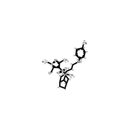 Cc1nn(C)c(Cl)c1S(=O)(=O)N(C)C1C2CCC1CN(CCCNc1ccc(C#N)cc1)C2